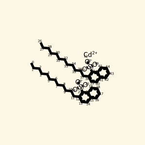 CCCCCCCCCCCCc1ccc2ccccc2c1S(=O)(=O)[O-].CCCCCCCCCCCCc1ccc2ccccc2c1S(=O)(=O)[O-].[Cd+2]